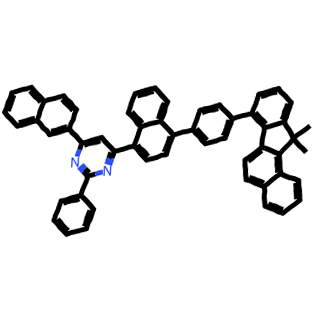 CC1(C)c2cccc(-c3ccc(-c4ccc(-c5cc(-c6ccc7ccccc7c6)nc(-c6ccccc6)n5)c5ccccc45)cc3)c2-c2ccc3ccccc3c21